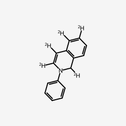 [2H]C1=C([2H])N(c2ccccc2)C([2H])c2ccc([2H])c([2H])c21